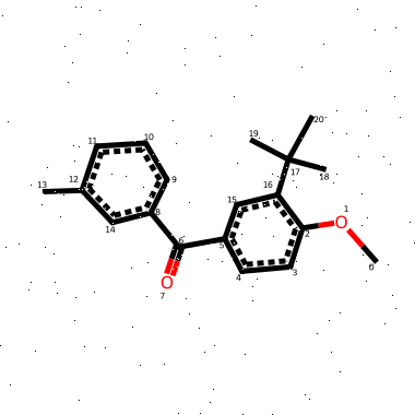 COc1ccc(C(=O)c2cccc(C)c2)cc1C(C)(C)C